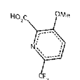 COc1ccc(C(F)(F)F)nc1C(=O)O